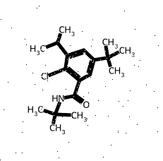 CC(C)c1cc(C(C)(C)C)cc(C(=O)NC(C)(C)C)c1Cl